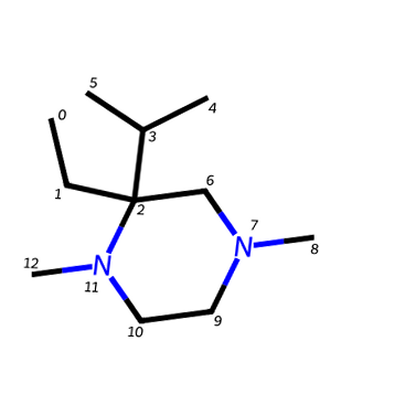 CCC1(C(C)C)CN(C)CCN1C